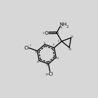 NC(=O)C1(c2cc(Cl)cc(Cl)c2)CC1